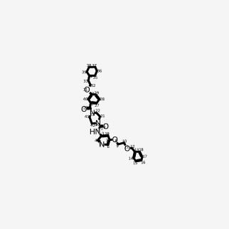 O=C(Nc1cncc(OCCOCc2ccccc2)c1)N1CCN(C(=O)c2cccc(OCCC3CCCCC3)c2)CC1